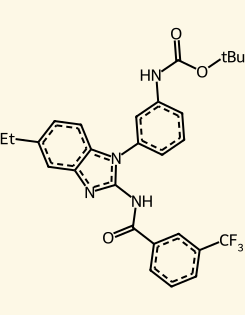 CCc1ccc2c(c1)nc(NC(=O)c1cccc(C(F)(F)F)c1)n2-c1cccc(NC(=O)OC(C)(C)C)c1